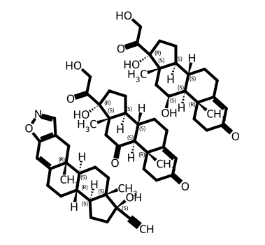 C#C[C@]1(O)CC[C@H]2[C@@H]3CCC4=Cc5oncc5C[C@]4(C)[C@H]3CC[C@@]21C.C[C@]12CCC(=O)C=C1CC[C@@H]1[C@@H]2C(=O)C[C@@]2(C)[C@H]1CC[C@]2(O)C(=O)CO.C[C@]12CCC(=O)C=C1CC[C@@H]1[C@@H]2[C@@H](O)C[C@@]2(C)[C@H]1CC[C@]2(O)C(=O)CO